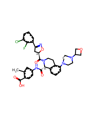 Cc1cc(NC(=O)[C@H]2c3cccc(N4CCN(C5COC5)CC4)c3CCN2C(=O)[C@H]2CC(c3cccc(Cl)c3F)=NO2)ccc1C(=O)O